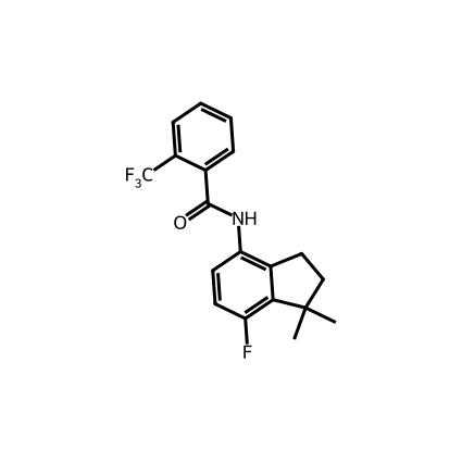 CC1(C)CCc2c(NC(=O)c3ccccc3C(F)(F)F)ccc(F)c21